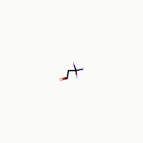 O=[C]CC(I)(I)I